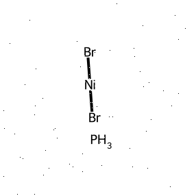 P.[Br][Ni][Br]